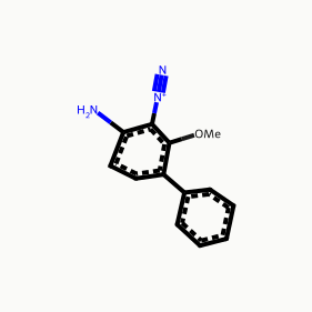 COc1c(-c2ccccc2)ccc(N)c1[N+]#N